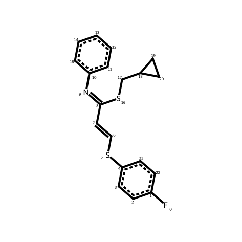 Fc1ccc(SC=CC(=Nc2ccccc2)SCC2CC2)cc1